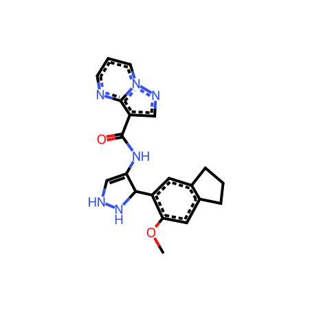 COc1cc2c(cc1C1NNC=C1NC(=O)c1cnn3cccnc13)CCC2